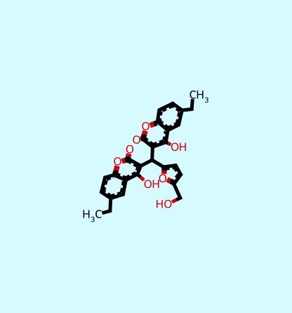 CCc1ccc2oc(=O)c(C(c3ccc(CO)o3)c3c(O)c4cc(CC)ccc4oc3=O)c(O)c2c1